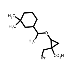 CC(C)CC1(C(=O)O)CC1OC(C)C1CCCC(C)(C)C1